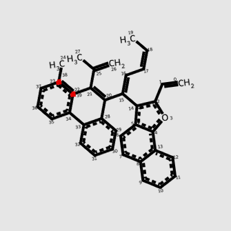 C=Cc1oc2c(ccc3ccccc32)c1C(=C\C=C/C)/C(=C(/C=C\C)C(=C)C)c1ccccc1-c1ccccc1